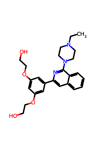 CCN1CCN(c2nc(-c3cc(OCCO)cc(OCCO)c3)cc3ccccc23)CC1